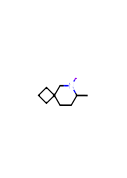 CC1CCC2(CCC2)CN1I